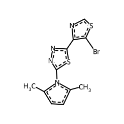 Cc1ccc(C)n1-c1nnc(-c2ncsc2Br)s1